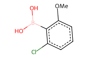 COc1cccc(Cl)c1B(O)O